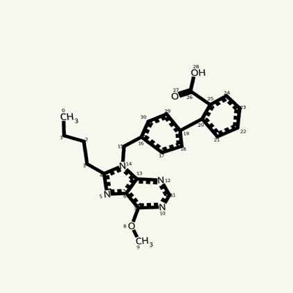 CCCCc1nc2c(OC)ncnc2n1Cc1ccc(-c2ccccc2C(=O)O)cc1